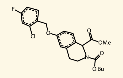 COC(=O)C1c2ccc(OCc3ccc(F)cc3Cl)cc2CCN1C(=O)OCC(C)C